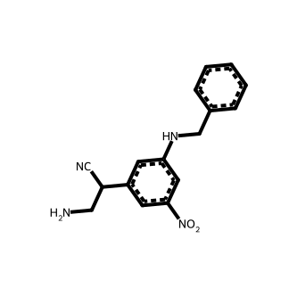 N#CC(CN)c1cc(NCc2ccccc2)cc([N+](=O)[O-])c1